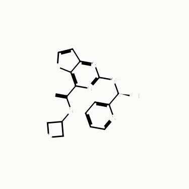 C[C@H](Nc1nc(C(=O)NC2COC2)c2sccc2n1)c1ccccn1